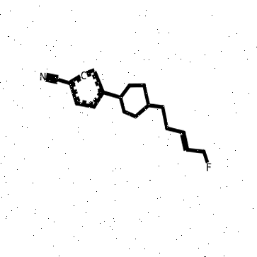 N#Cc1ccc(C2CCC(CCC=CCF)CC2)cc1